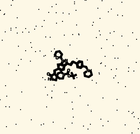 CC(C)(C)OC(=O)N1CCC2(CC1)CNC(=O)/C2=C/c1ccc2c(/C=C/c3ccc(CN4CCCCC4)cc3)nn(C3CCCCO3)c2c1